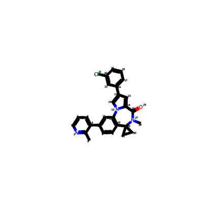 Cc1ncccc1-c1ccc2c(c1)-n1cc(-c3cccc(Cl)c3)cc1C(=O)N(C)C21CC1